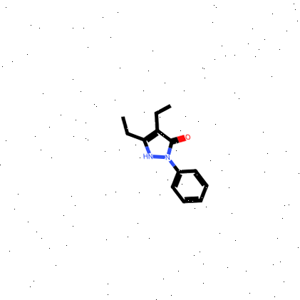 CCc1[nH]n(-c2ccccc2)c(=O)c1CC